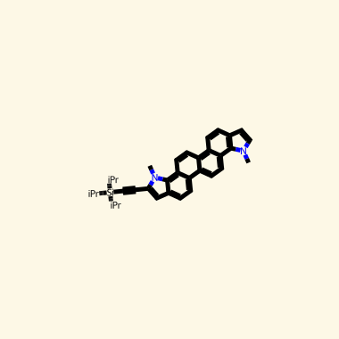 CC(C)[Si](C#Cc1cc2ccc3c4ccc5c(ccc6ccn(C)c65)c4ccc3c2n1C)(C(C)C)C(C)C